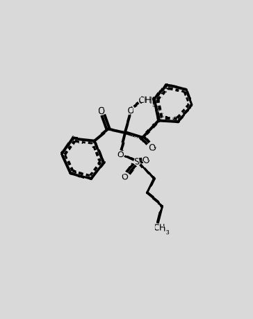 CCCCS(=O)(=O)OC(OC)(C(=O)c1ccccc1)C(=O)c1ccccc1